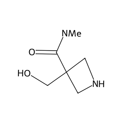 CNC(=O)C1(CO)CNC1